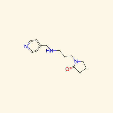 O=C1CCCN1CCCNCc1ccncc1